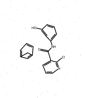 O=C(Nc1cccc(O)c1)c1cccnc1Cl.c1cc2cc(c1)C2